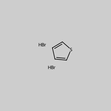 Br.Br.c1ccsc1